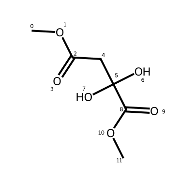 COC(=O)CC(O)(O)C(=O)OC